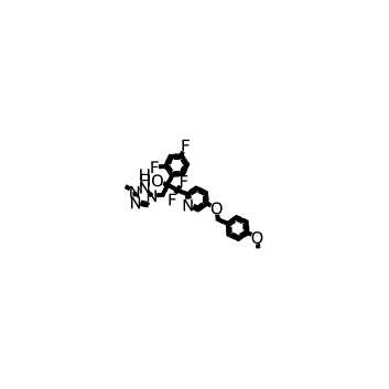 COc1ccc(COc2ccc(C(F)(F)C(O)(CN3C=NN(C)N3)c3ccc(F)cc3F)nc2)cc1